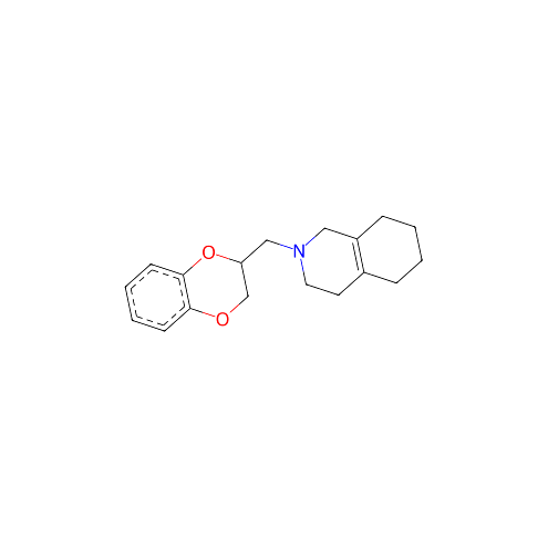 c1ccc2c(c1)OCC(CN1CCC3=C(CCCC3)C1)O2